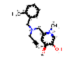 C#CCN(Cc1ccccc1C)Cc1cc(=O)c(O)cn1C